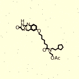 CC(=O)OCCN(CCC1CCCC1)C(=O)CCCCCCOc1ccc2c(c1)CN1CC(=O)NC1=N2